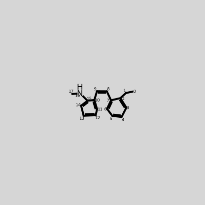 CCc1ccccc1/C=C\c1ccccc1NC